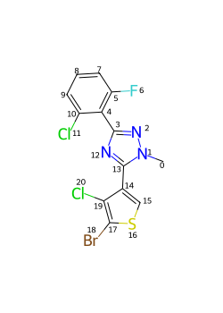 Cn1nc(-c2c(F)cccc2Cl)nc1-c1csc(Br)c1Cl